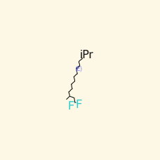 CC(C)CC/C=C/CCCCCCC(C)CC(F)F